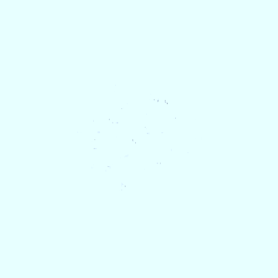 CNc1cccc(C2CC2)c1C(=N)C(C)C(=O)N1C2CC3CC1CC(C#N)(C3)C2